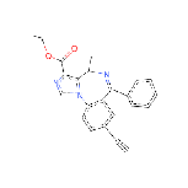 C#Cc1ccc2c(c1)C(c1ccccc1)=NC(C)c1c(C(=O)OCC)ncn1-2